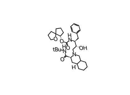 CC(C)(C)NC(=O)[C@@H]1C[C@@H]2CCCCC2CN1C[C@@H](O)[C@H](Cc1ccccc1)NC(=O)O[C@H]1CCCC12CCCO2